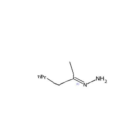 CCCC/C(C)=N/N